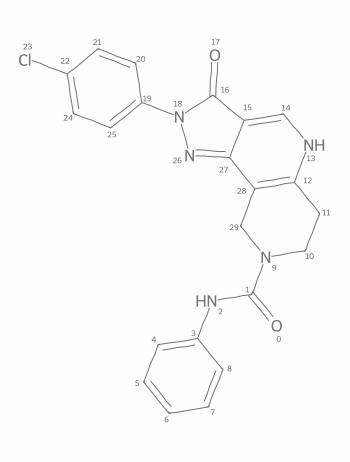 O=C(Nc1ccccc1)N1CCc2[nH]cc3c(=O)n(-c4ccc(Cl)cc4)nc-3c2C1